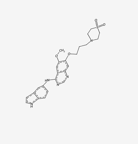 COc1cc2c(Nc3ccc4[nH]ccc4c3)ncnc2cc1OCCCN1CCS(=O)(=O)CC1